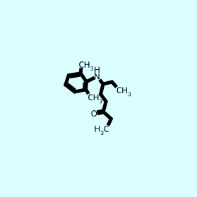 CCC(=O)CCC(CC)Nc1c(C)cccc1C